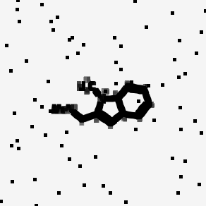 CNCC1=CC2C=CC=CC2N1C